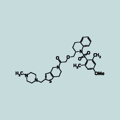 COc1cc(C)c(S(=O)(=O)N2c3ccccc3CCC2COCC(=O)N2CCc3sc(CN4CCN(C)CC4)cc3C2)c(C)c1